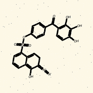 [N-]=[N+]=C1CC=c2c(S(=O)(=O)Oc3ccc(C(=O)c4ccc(O)c(O)c4O)cc3)cccc2=C1O